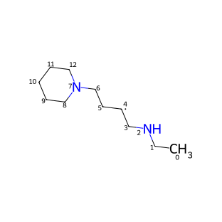 CCNC[CH]CCN1CCCCC1